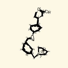 C=C[C@@H](CC(=O)O)c1ccc(OCc2cccc(CN3CC4CC(C3)O4)c2)cc1